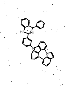 c1ccc(C2NC(c3cccc(-n4c5cccc6c7cccc8ccn(c9cccc4c9c65)c87)c3)Nc3ccccc32)cc1